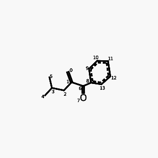 C=C(CC(C)C)C(=O)c1ccccc1